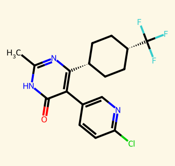 Cc1nc([C@H]2CC[C@@H](C(F)(F)F)CC2)c(-c2ccc(Cl)nc2)c(=O)[nH]1